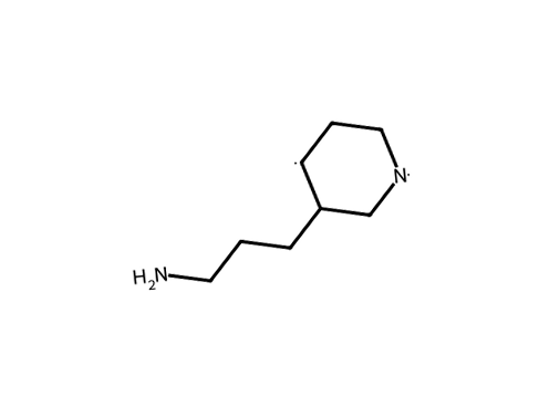 NCCCC1[CH]CC[N]C1